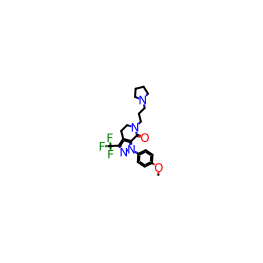 COc1ccc(-n2nc(C(F)(F)F)c3c2C(=O)N(CCCN2CCCC2)CC3)cc1